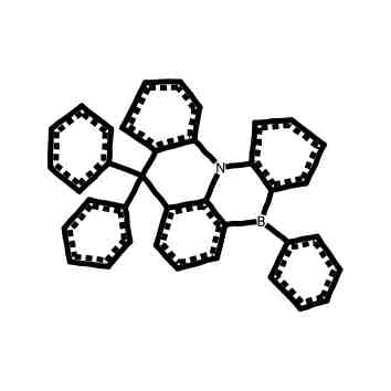 c1ccc(B2c3ccccc3N3c4ccccc4C(c4ccccc4)(c4ccccc4)c4cccc2c43)cc1